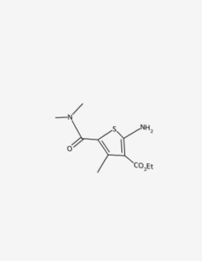 CCOC(=O)c1c(N)sc(C(=O)N(C)C)c1C